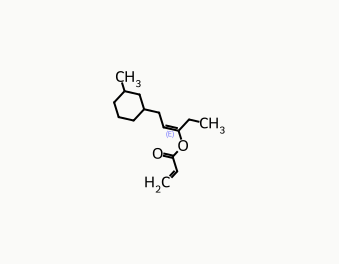 C=CC(=O)O/C(=C/CC1CCCC(C)C1)CC